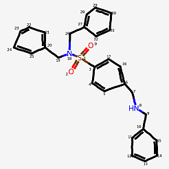 O=S(=O)(c1ccc(CNCc2ccccc2)cc1)N(Cc1ccccc1)Cc1ccccc1